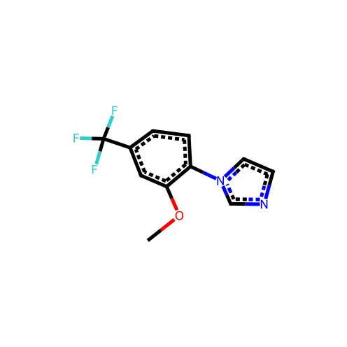 COc1cc(C(F)(F)F)ccc1-n1ccnc1